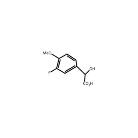 COc1ccc(C(O)C(=O)O)cc1F